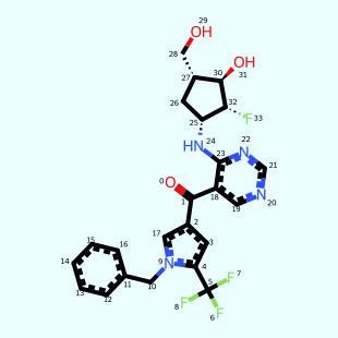 O=C(c1cc(C(F)(F)F)n(Cc2ccccc2)c1)c1cncnc1N[C@@H]1C[C@H](CO)[C@@H](O)[C@@H]1F